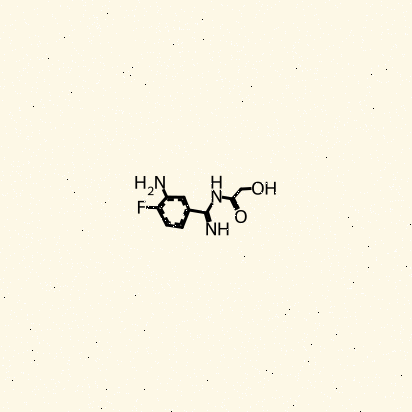 N=C(NC(=O)CO)c1ccc(F)c(N)c1